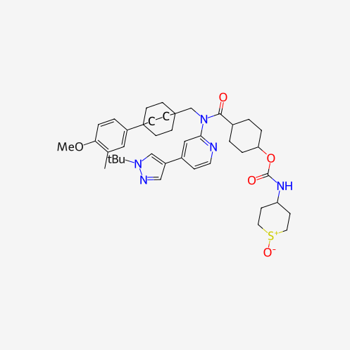 COc1ccc(C23CCC(CN(C(=O)C4CCC(OC(=O)NC5CC[S+]([O-])CC5)CC4)c4cc(-c5cnn(C(C)(C)C)c5)ccn4)(CC2)CC3)cc1C